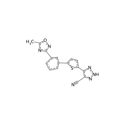 Cc1nc(-c2cccc(-c3ccc(-c4n[nH]nc4C#N)s3)c2)no1